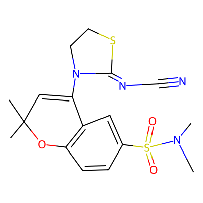 CN(C)S(=O)(=O)c1ccc2c(c1)C(N1CCSC1=NC#N)=CC(C)(C)O2